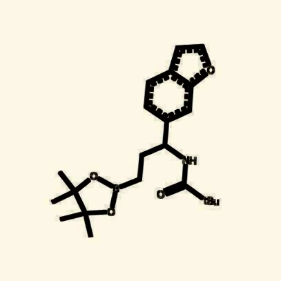 CC(C)(C)C(=O)NC(CCB1OC(C)(C)C(C)(C)O1)c1ccc2ccoc2c1